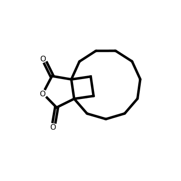 O=C1OC(=O)C23CCCCCCCCCC12CC3